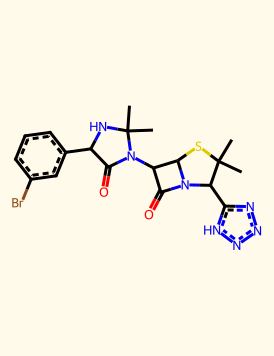 CC1(C)SC2C(N3C(=O)C(c4cccc(Br)c4)NC3(C)C)C(=O)N2C1c1nnn[nH]1